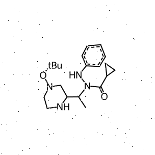 CC(C1CN(OC(C)(C)C)CCN1)N(Nc1ccccc1)C(=O)C1CC1